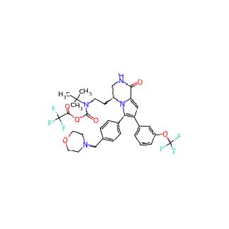 CC(C)(C)N(CC[C@H]1CNC(=O)c2cc(-c3cccc(OC(F)(F)F)c3)c(-c3ccc(CN4CCOCC4)cc3)n21)C(=O)OC(=O)C(F)(F)F